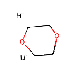 C1COCCO1.[H-].[Li+]